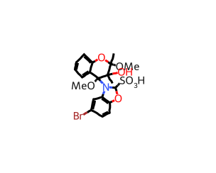 COC1(C)Oc2ccccc2C(OC)(N2c3cc(Br)ccc3OC2S(=O)(=O)O)C1(C)O